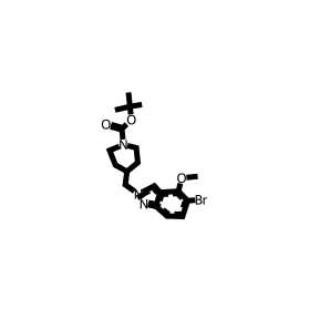 COc1c(Br)ccc2nn(CC3CCN(C(=O)OC(C)(C)C)CC3)cc12